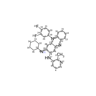 Cc1ncccc1Nc1cc2nc3ccccc3n(-c3ccc(F)c(F)c3)c-2c/c1=N\C1CCCCC1